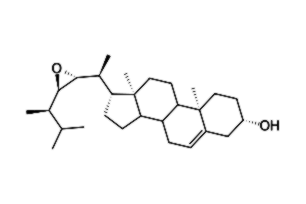 CC(C)[C@@H](C)[C@H]1O[C@@H]1[C@@H](C)[C@H]1CCC2C3CC=C4C[C@@H](O)CC[C@]4(C)C3CC[C@@]21C